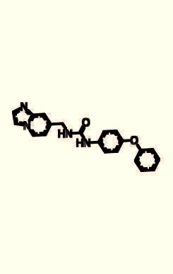 O=C(NCc1ccn2ccnc2c1)Nc1ccc(Oc2ccccc2)cc1